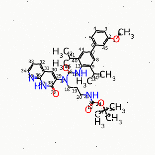 COc1cccc(-c2cc(C(C)C)c(NC(=O)N(CCCNC(=O)OC(C)(C)C)c3cc4cccnc4[nH]c3=O)c(C(C)C)c2)c1